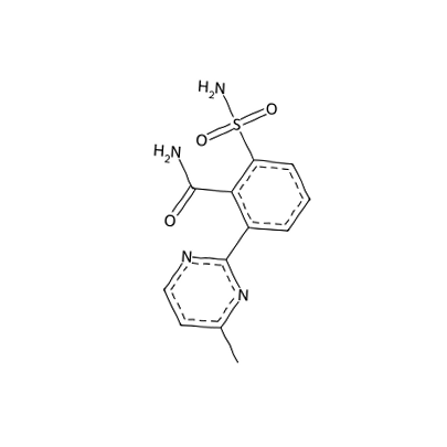 Cc1ccnc(-c2cccc(S(N)(=O)=O)c2C(N)=O)n1